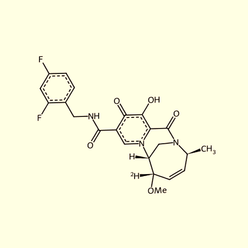 [2H][C@]1(OC)C=C[C@H](C)N2C[C@H]1n1cc(C(=O)NCc3ccc(F)cc3F)c(=O)c(O)c1C2=O